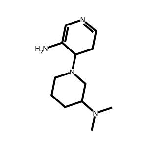 CN(C)C1CCCN(C2CC=NC=C2N)C1